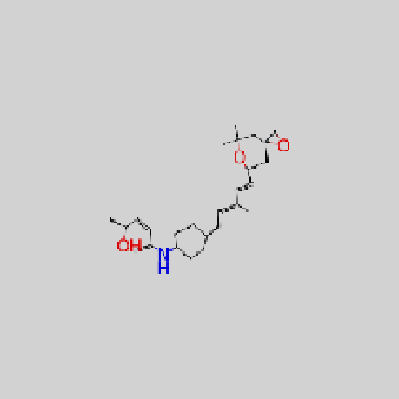 C=C(/C=C\[C@H](C)O)N[C@H]1CC[C@@H](C/C=C(C)/C=C/[C@@H]2C[C@]3(CO3)CC(C)(C)O2)CC1